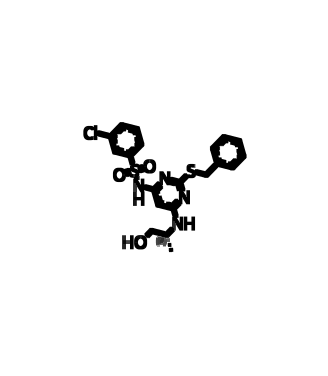 C[C@H](CO)Nc1cc(NS(=O)(=O)c2cccc(Cl)c2)nc(SCc2ccccc2)n1